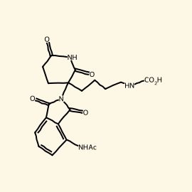 CC(=O)Nc1cccc2c1C(=O)N(C1(CCCCNC(=O)O)CCC(=O)NC1=O)C2=O